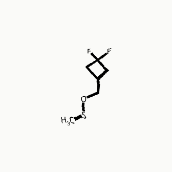 CSOCC1CC(F)(F)C1